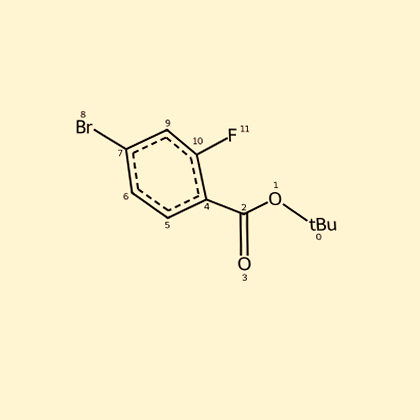 CC(C)(C)OC(=O)c1ccc(Br)cc1F